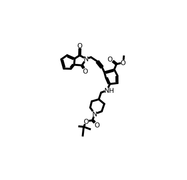 COC(=O)c1ccc(NCC2CCN(C(=O)OC(C)(C)C)CC2)cc1C#CCN1C(=O)c2ccccc2C1=O